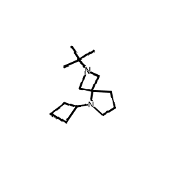 CC(C)(C)N1CC2(CCCN2C2CCC2)C1